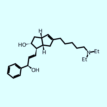 CCN(CC)CCCCCC1=C[C@H]2C[C@@H](O)[C@H](/C=C/[C@@H](O)c3ccccc3)[C@H]2C1